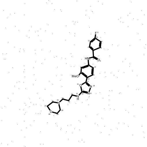 COc1cc(NC(=O)c2ccc(F)cc2)ccc1-c1nnc(NCCCN2CCOCC2)o1